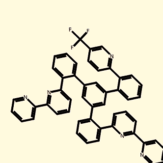 FC(F)(F)c1ccc(-c2ccccc2-c2cc(-c3ccccc3-c3cccc(-c4ccccn4)n3)cc(-c3ccccc3-c3cccc(-c4ccccn4)n3)c2)nc1